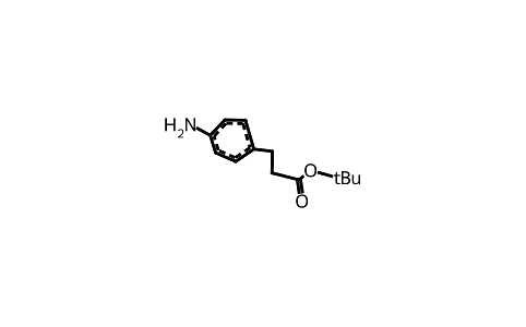 CC(C)(C)OC(=O)CCc1ccc(N)cc1